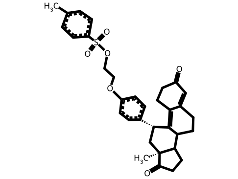 Cc1ccc(S(=O)(=O)OCCOc2ccc([C@H]3C[C@]4(C)C(=O)CCC4C4CCC5=CC(=O)CCC5=C43)cc2)cc1